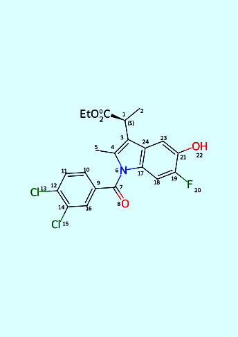 CCOC(=O)[C@@H](C)c1c(C)n(C(=O)c2ccc(Cl)c(Cl)c2)c2cc(F)c(O)cc12